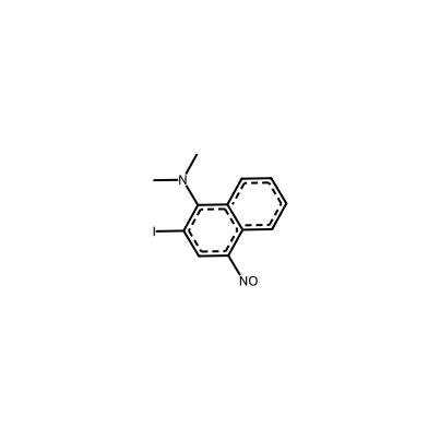 CN(C)c1c(I)cc(N=O)c2ccccc12